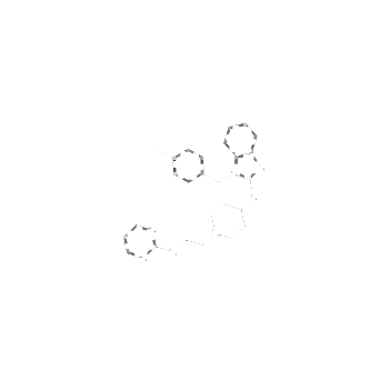 Cc1ccc(Cn2c(NC3CCN(CCNc4ncccn4)CC3)nc3ccccc32)cc1